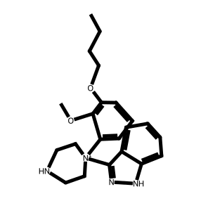 CCCCOc1[c]ccc([N+]2(c3n[nH]c4ccccc34)CCNCC2)c1OC